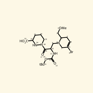 COCC1CC=C(Br)CN1CC(NC(=O)OC(C)(C)C)C(=O)N1CCCC(C(=O)O)N1